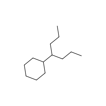 CCC[C](CCC)C1CCCCC1